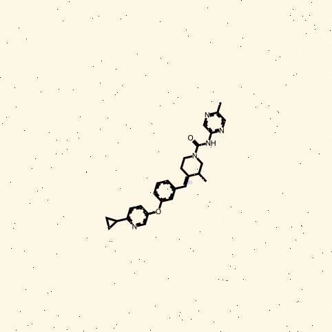 Cc1cnc(NC(=O)N2CC/C(=C\c3cccc(Oc4ccc(C5CC5)nc4)c3)C(C)C2)cn1